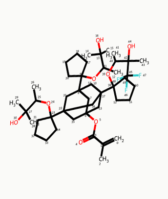 C=C(C)C(=O)OC12CC3(C4(OC(C)C(C)(C)O)CCCC4)CC(C4(OC(C)C(C)(C)O)CCCC4)(C1)CC(C1(OC(C)C(C)(O)C(F)(F)F)CCCC1)(C2)C3